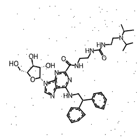 CC(C)N(CCNC(=O)NCCNC(=O)c1nc(NCC(c2ccccc2)c2ccccc2)c2ncn([C@@H]3O[C@H](CO)[C@@H](O)[C@@H]3O)c2n1)C(C)C